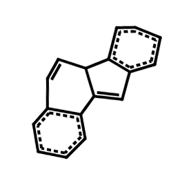 C1=CC2C(=Cc3ccccc32)c2ccccc21